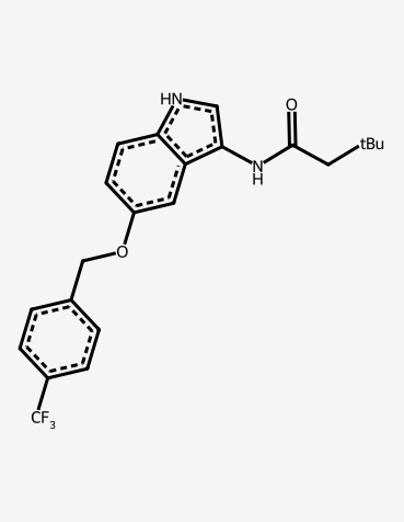 CC(C)(C)CC(=O)Nc1c[nH]c2ccc(OCc3ccc(C(F)(F)F)cc3)cc12